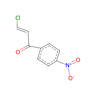 O=C(C=CCl)c1ccc([N+](=O)[O-])cc1